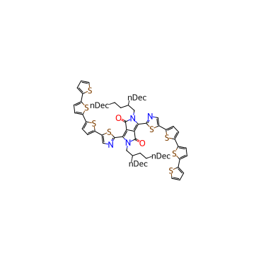 CCCCCCCCCCCCC(CCCCCCCCCC)CN1C(=O)C2=C(c3ncc(-c4ccc(-c5ccc(-c6cccs6)s5)s4)s3)N(CC(CCCCCCCCCC)CCCCCCCCCCCC)C(=O)C2=C1c1ncc(-c2ccc(-c3ccc(-c4cccs4)s3)s2)s1